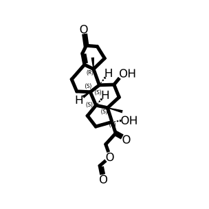 C[C@]12CCC(=O)C=C1CC[C@@H]1[C@@H]2C(O)C[C@@]2(C)[C@H]1CC[C@]2(O)C(=O)COC=O